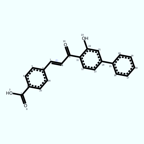 O=C(O)c1ccc(/C=C/C(=O)c2ccc(-c3ccccc3)cc2O)cc1